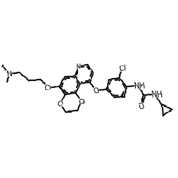 CN(C)CCCOc1cc2nccc(Oc3ccc(NC(=O)NC4CC4)c(Cl)c3)c2c2c1OCCO2